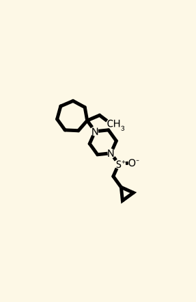 CCC1(N2CCN([S+]([O-])CC3CC3)CC2)CCCCCC1